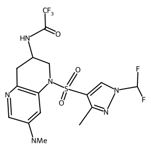 CNc1cnc2c(c1)N(S(=O)(=O)c1cn(C(F)F)nc1C)CC(NC(=O)C(F)(F)F)C2